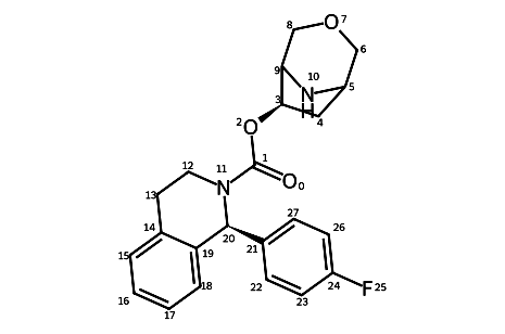 O=C(O[C@@H]1CC2COCC1N2)N1CCc2ccccc2[C@@H]1c1ccc(F)cc1